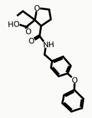 CCC1(C(=O)O)OCCC1C(=O)NCc1ccc(Oc2ccccc2)cc1